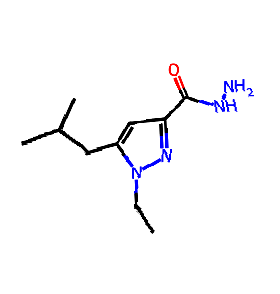 CCn1nc(C(=O)NN)cc1CC(C)C